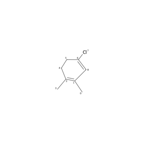 CC1=C(C)CCC(Cl)=C1